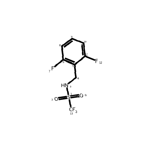 O=S(=O)(NCc1c(F)cccc1F)C(F)(F)F